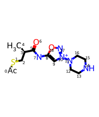 CC(=O)SC[C@@H](C)C(=O)[N-]c1c[n+](N2CCNCC2)no1